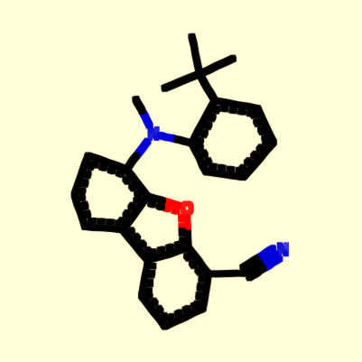 CN(c1ccccc1C(C)(C)C)c1cccc2c1oc1c(C#N)cccc12